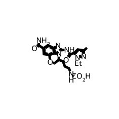 CCn1nc(C)cc1C(=O)Nc1nc2cc(C(N)=O)cc3c2n1C(CCCNC(=O)O)CO3